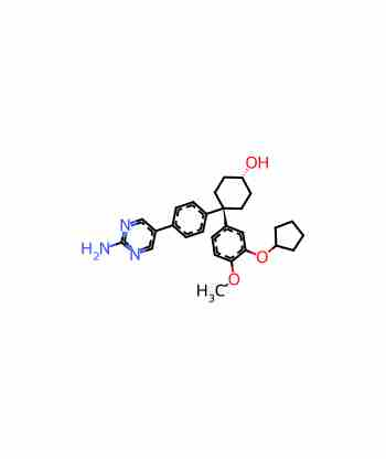 COc1ccc([C@]2(c3ccc(-c4cnc(N)nc4)cc3)CC[C@@H](O)CC2)cc1OC1CCCC1